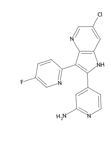 Nc1cc(-c2[nH]c3cc(Cl)cnc3c2-c2ccc(F)cn2)ccn1